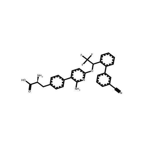 N#Cc1cccc(-c2ccccc2C(Oc2ccc(-c3ccc(C[C@H](N)C(=O)O)cc3)c(N)n2)C(F)(F)F)c1